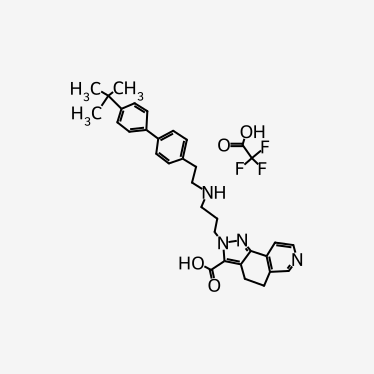 CC(C)(C)c1ccc(-c2ccc(CCNCCCn3nc4c(c3C(=O)O)CCc3cnccc3-4)cc2)cc1.O=C(O)C(F)(F)F